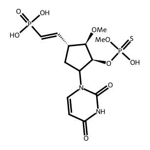 CO[C@@H]1[C@@H](/C=C/P(=O)(O)O)CC(n2ccc(=O)[nH]c2=O)[C@@H]1OP(O)(=S)OC